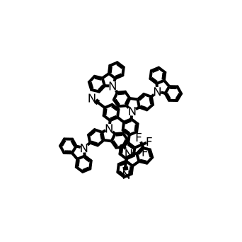 N#Cc1ccc(-c2cc(-c3ccc(C#N)cc3C(F)(F)F)ccc2-n2c3ccc(-n4c5ccccc5c5ccccc54)cc3c3cc(-n4c5ccccc5c5ccccc54)ccc32)c(-n2c3ccc(-n4c5ccccc5c5ccccc54)cc3c3cc(-n4c5ccccc5c5ccccc54)ccc32)c1